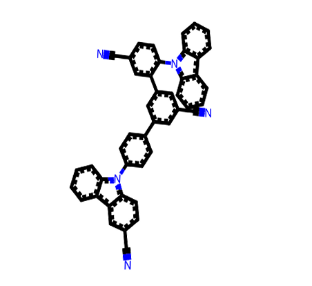 N#Cc1cc(-c2ccc(-n3c4ccccc4c4cc(C#N)ccc43)cc2)cc(-c2cc(C#N)ccc2-n2c3ccccc3c3ccccc32)c1